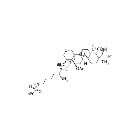 CCCS(=O)(=O)NCCCCC(N)C(=O)O[C@H]1[C@H](OC(C)=O)C[C@@]23COC[C@]1(C)[C@@H]2CC[C@H]1C3=CC[C@@]2(C)[C@H](C(=O)O)[C@@](C)([C@H](C)C(C)C)CC[C@]12C